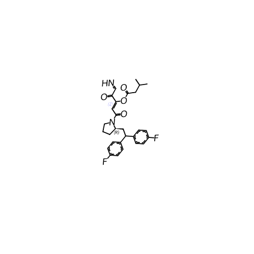 CC(C)CC(=O)O/C(=C\C(=O)N1CCC[C@@H]1CC(c1ccc(F)cc1)c1ccc(F)cc1)C(=O)C=N